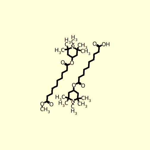 CN1C(C)(C)CC(OC(=O)CCCCCCCCC(=O)O)CC1(C)C.COC(=O)CCCCCCCCC(=O)OC1CC(C)(C)N(C)C(C)(C)C1